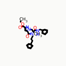 CCOC(=O)c1cc2n(n1)CC(C)(C(=O)NCc1ccccc1)N(CCCc1ccccc1)C2=O